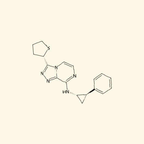 c1ccc([C@H]2C[C@@H]2Nc2nccn3c([C@@H]4CCCS4)nnc23)cc1